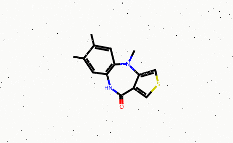 Cc1cc2c(cc1C)N(C)c1cscc1C(=O)N2